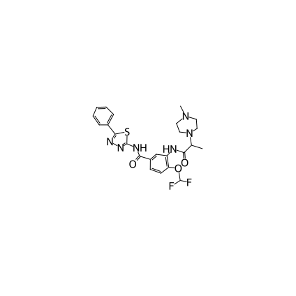 CC(C(=O)Nc1cc(C(=O)Nc2nnc(-c3ccccc3)s2)ccc1OC(F)F)N1CCN(C)CC1